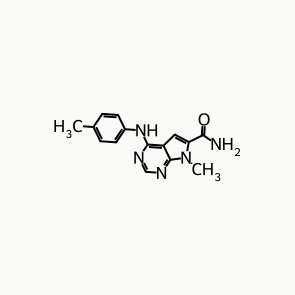 Cc1ccc(Nc2ncnc3c2cc(C(N)=O)n3C)cc1